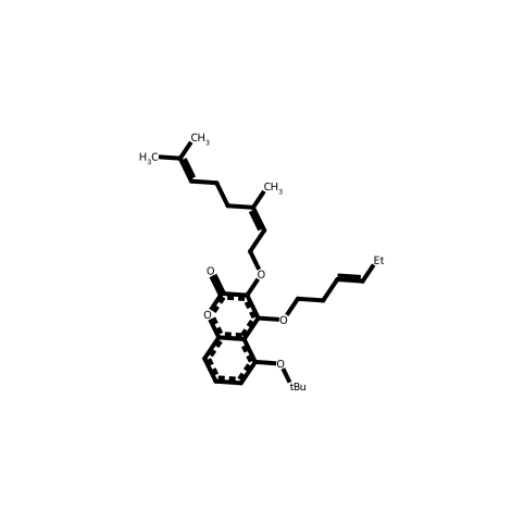 CCC=CCCOc1c(OCC=C(C)CCC=C(C)C)c(=O)oc2cccc(OC(C)(C)C)c12